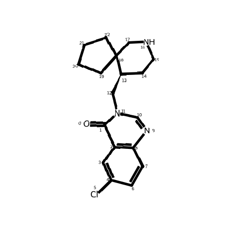 O=c1c2cc(Cl)ccc2ncn1C[C@@H]1CCNCC12CCCC2